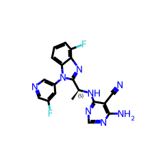 C[C@H](Nc1ncnc(N)c1C#N)c1nc2c(F)cccc2n1-c1cncc(F)c1